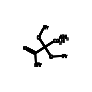 CCCC(=O)C(OC(C)C)(OC(C)C)C(=O)O.[AlH3]